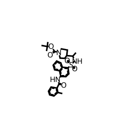 Cc1ccccc1C(=O)Nc1ccc(S(=O)(=O)NC(C)C2CCN(C(=O)OC(C)(C)C)CC2)c2ccccc12